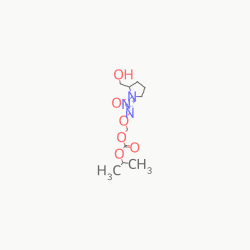 CC(C)OC(=O)OCO/N=[N+](\[O-])N1CCCC1CO